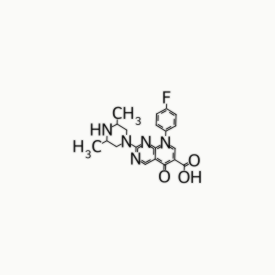 CC1CN(c2ncc3c(=O)c(C(=O)O)cn(-c4ccc(F)cc4)c3n2)CC(C)N1